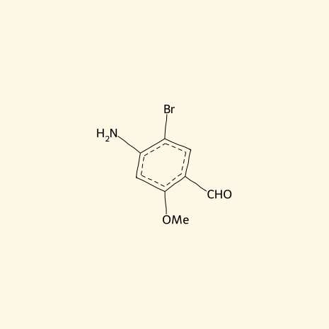 COc1cc(N)c(Br)cc1C=O